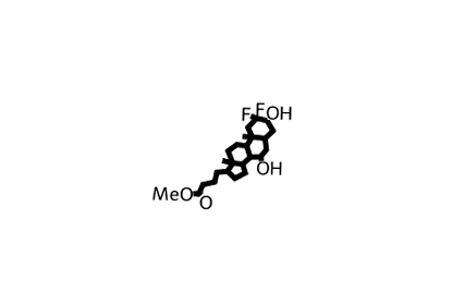 COC(=O)CCCC1CCC2C3C(O)CC4CC(O)C(F)(F)CC4(C)C3CCC12C